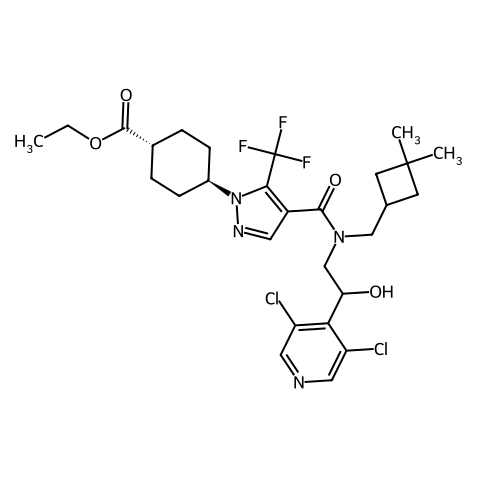 CCOC(=O)[C@H]1CC[C@H](n2ncc(C(=O)N(CC3CC(C)(C)C3)CC(O)c3c(Cl)cncc3Cl)c2C(F)(F)F)CC1